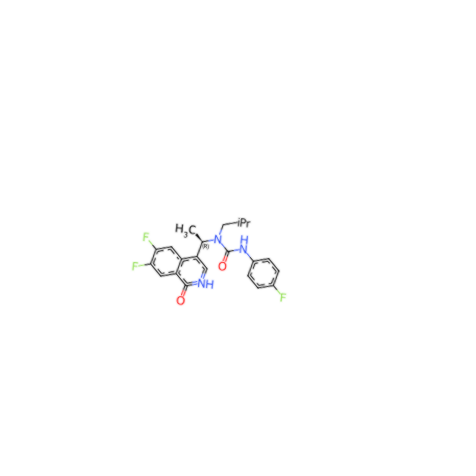 CC(C)CN(C(=O)Nc1ccc(F)cc1)[C@H](C)c1c[nH]c(=O)c2cc(F)c(F)cc12